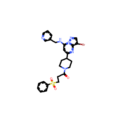 O=C(CCS(=O)(=O)c1ccccc1)N1CCC(c2cc(NCc3cccnc3)n3ncc(Br)c3n2)CC1